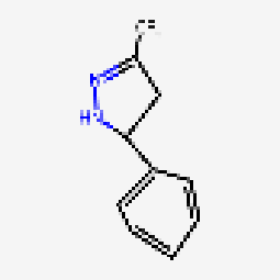 FC(F)(F)C1=NNC(c2ccccc2)C1